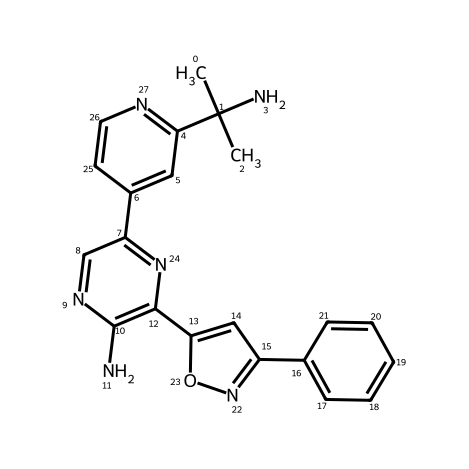 CC(C)(N)c1cc(-c2cnc(N)c(-c3cc(-c4ccccc4)no3)n2)ccn1